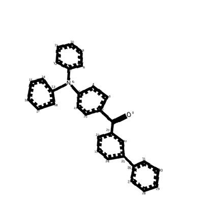 O=C(c1ccc(N(c2ccccc2)c2ccccc2)cc1)c1cccc(-c2ccccc2)c1